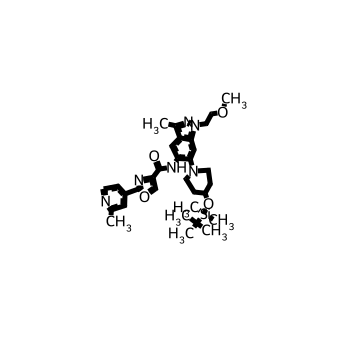 COCCn1nc(C)c2cc(NC(=O)c3coc(-c4ccnc(C)c4)n3)c(N3CCC(O[Si](C)(C)C(C)(C)C)CC3)cc21